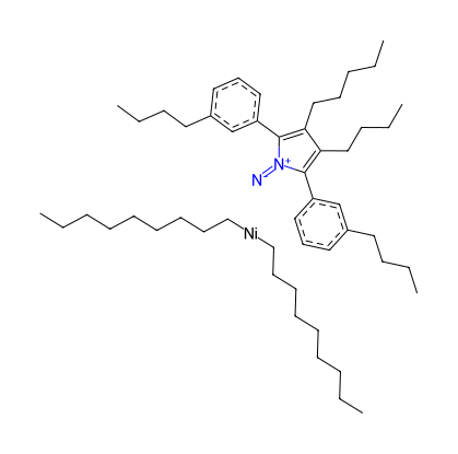 CCCCCC1=C(c2cccc(CCCC)c2)[N+](=[N-])C(c2cccc(CCCC)c2)=C1CCCC.CCCCCCCC[CH2][Ni][CH2]CCCCCCCC